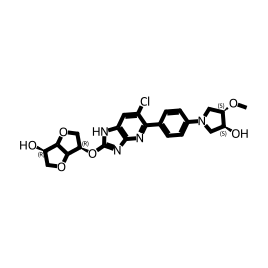 CO[C@H]1CN(c2ccc(-c3nc4nc(O[C@@H]5COC6C5OC[C@H]6O)[nH]c4cc3Cl)cc2)C[C@@H]1O